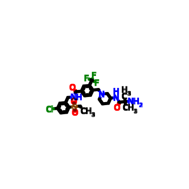 CCS(=O)(=O)c1ccc(Cl)cc1CNC(=O)c1ccc(CN2CCCC(NC(=O)C(C)(C)N)C2)c(C(F)(F)F)c1